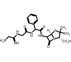 CC1(C)S[C@@H]2C(NC(=O)C(NC(=O)CNC(=N)CN)c3ccccc3)C(=O)N2[C@H]1C(=O)O